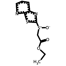 CCOC(=O)C[S+]([O-])c1nc2cccnc2s1